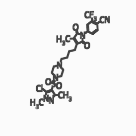 CC1=C(CCCCN2CCN(S(=O)(=O)c3c(C)nn(C)c3Cl)CC2)C(=O)N(c2ccc(C#N)c(C(F)(F)F)c2)C1=O